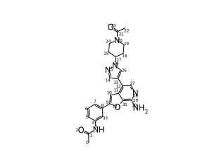 CC(=O)Nc1cccc(-c2cc3c(-c4cnn(C5CCN(C(C)=O)CC5)c4)cnc(N)c3o2)c1